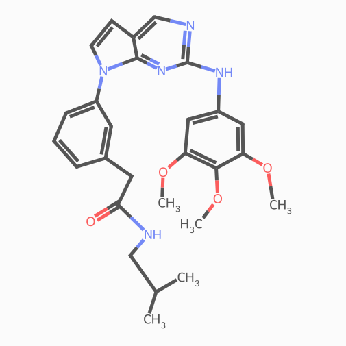 COc1cc(Nc2ncc3ccn(-c4cccc(CC(=O)NCC(C)C)c4)c3n2)cc(OC)c1OC